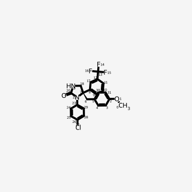 COc1ccc(C[C@]2(c3cccc(C(F)(F)F)c3)CNC(=O)N2c2ccc(Cl)cc2)cc1